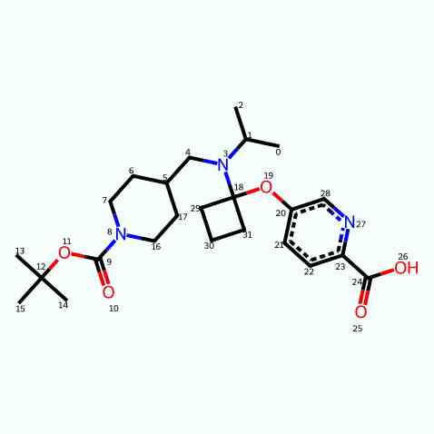 CC(C)N(CC1CCN(C(=O)OC(C)(C)C)CC1)C1(Oc2ccc(C(=O)O)nc2)CCC1